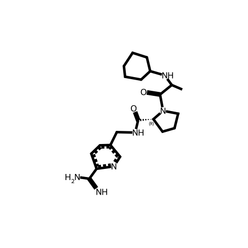 CC(NC1CCCCC1)C(=O)N1CCC[C@@H]1C(=O)NCc1ccc(C(=N)N)nc1